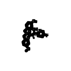 COc1ccc(CN(Cc2ccc(OC)cc2)S(=O)(=O)[C@@H](C)[C@@H](O)c2ccc(F)cn2)cc1